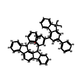 C[Si]1(C)c2ccccc2-c2c(-c3cccc(-n4c5ccccc5c5ccc6c7ccccc7n(-c7ccccc7)c6c54)c3)nc(-c3ccccc3)nc21